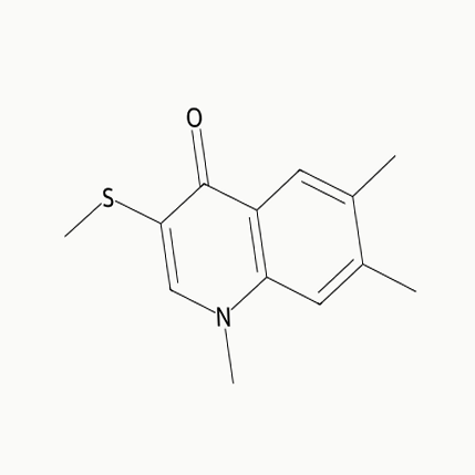 CSc1cn(C)c2cc(C)c(C)cc2c1=O